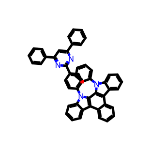 c1ccc(-c2cc(-c3ccccc3)nc(-c3ccc(-n4c5ccccc5c5c6ccccc6c6c7ccccc7n(-c7ccccc7)c6c54)cc3)n2)cc1